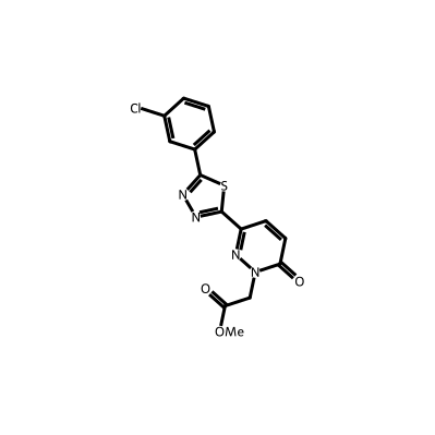 COC(=O)Cn1nc(-c2nnc(-c3cccc(Cl)c3)s2)ccc1=O